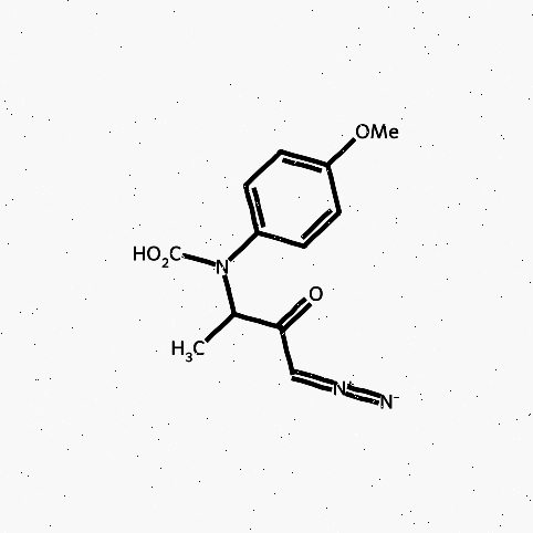 COc1ccc(N(C(=O)O)C(C)C(=O)C=[N+]=[N-])cc1